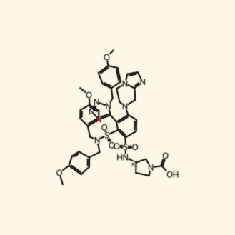 COc1ccc(CN(Cc2ccc(OC)cc2)S(=O)(=O)c2c(S(=O)(=O)N[C@@H]3CCN(C(=O)O)C3)ccc(N3CCn4ccnc4C3)c2-c2nnnn2Cc2ccc(OC)cc2)cc1